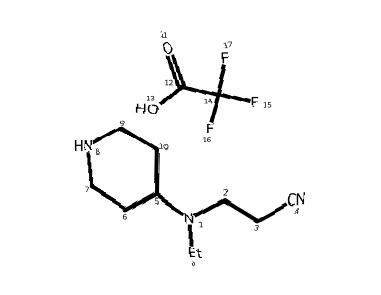 CCN(CCC#N)C1CCNCC1.O=C(O)C(F)(F)F